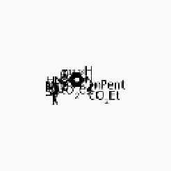 CCCCC[C@@H](Nc1ccc(S(=O)(=O)Nc2cc(C)sn2)cc1)C(C(=O)OCC)C(=O)OCC